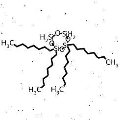 CCCCCCCC[Si]1(CCCCCCCC)O[SiH2]O[SiH2]O[Si](CCCCCCCC)(CCCCCCCC)O1